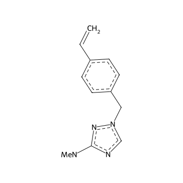 C=Cc1ccc(Cn2cnc(NC)n2)cc1